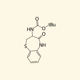 CC(C)(C)OC(=O)NC1CSc2ccccc2NC1=O